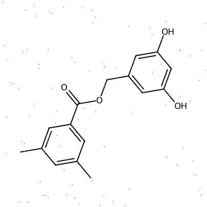 Cc1cc(C)cc(C(=O)OCc2cc(O)cc(O)c2)c1